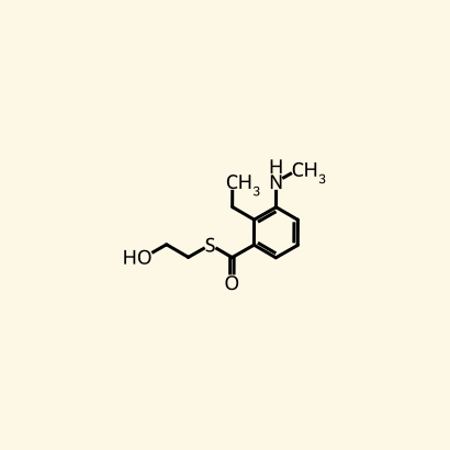 CCc1c(NC)cccc1C(=O)SCCO